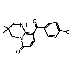 CC1(C)CNc2c(C(=O)c3ccc(Cl)cc3)ccc(=O)n2C1